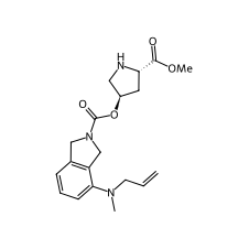 C=CCN(C)c1cccc2c1CN(C(=O)O[C@H]1CN[C@H](C(=O)OC)C1)C2